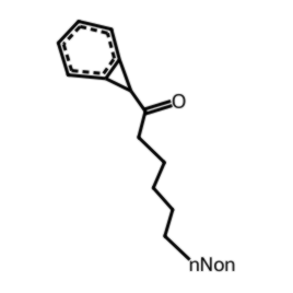 CCCCCCCCCCCCCCC(=O)C1c2ccccc21